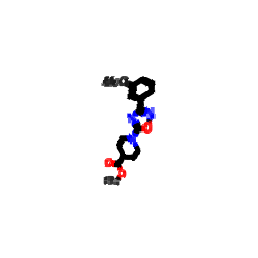 COc1cccc(-c2noc(N3CCC(C(=O)OC(C)(C)C)CC3)n2)c1